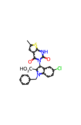 Cc1cc2c(=O)n(-c3c(C(=O)O)n(Cc4ccccc4)c4ccc(Cl)cc34)c(=O)[nH]c2s1